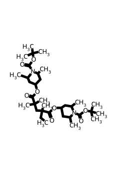 CCC(C)(CC(C)(C)C(=O)OC1CC(C)N(C(=O)OC(C)(C)C)C(C)C1)C(=O)OC1CC(C)N(C(=O)OC(C)(C)C)C(C)C1